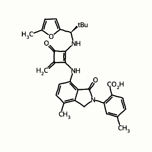 C=C1C(=O)C(N[C@@H](c2ccc(C)o2)C(C)(C)C)=C1Nc1ccc(C)c2c1C(=O)N(c1cc(C)ccc1C(=O)O)C2